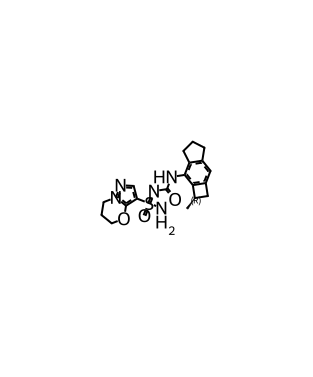 C[C@@H]1Cc2cc3c(c(NC(=O)N=S(N)(=O)c4cnn5c4OCCC5)c21)CCC3